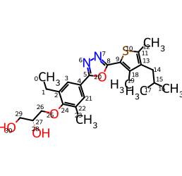 CCc1cc(-c2nnc(-c3sc(C)c(CC(C)C)c3C)o2)cc(C)c1OC[C@H](O)CO